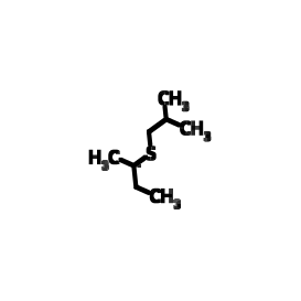 CC[C](C)SCC(C)C